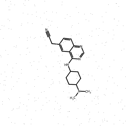 CN(C)C1CCC(Nc2ncnc3ccc(CC#N)cc23)CC1